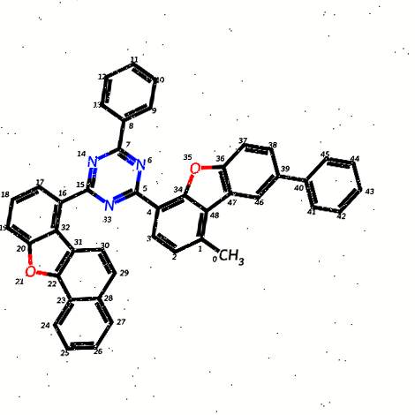 Cc1ccc(-c2nc(-c3ccccc3)nc(-c3cccc4oc5c6ccccc6ccc5c34)n2)c2oc3ccc(-c4ccccc4)cc3c12